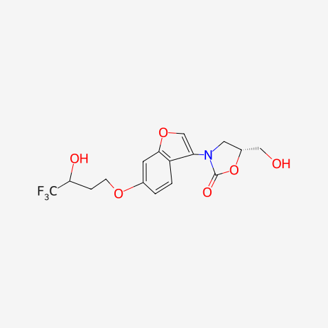 O=C1O[C@@H](CO)CN1c1coc2cc(OCCC(O)C(F)(F)F)ccc12